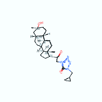 C[C@@]1(O)CC[C@H]2[C@H](CC[C@@H]3[C@@H]2CC[C@]2(C)[C@@H](C(=O)Cn4nnn(CC5CC5)c4=O)CC[C@@H]32)C1